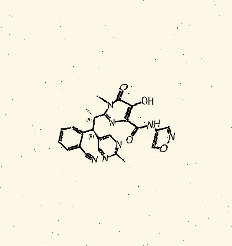 Cc1ncc([C@@H](c2ccccc2C#N)[C@H](C)c2nc(C(=O)Nc3cnoc3)c(O)c(=O)n2C)cn1